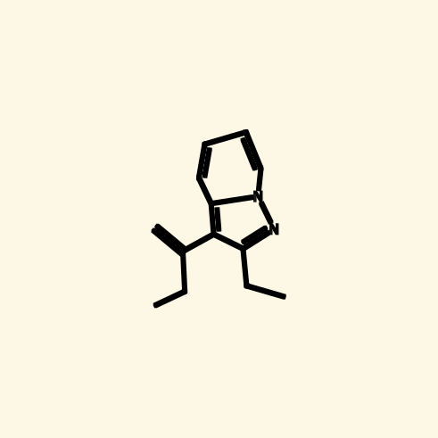 C=C(CC)c1c(CC)nn2ccccc12